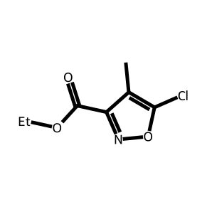 CCOC(=O)c1noc(Cl)c1C